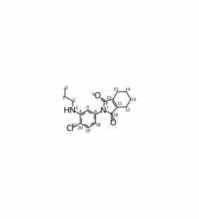 CCCNc1cc(N2C(=O)C3=C(CCCC3)C2=O)ccc1Cl